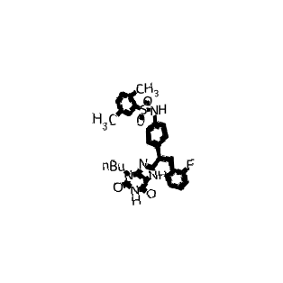 CCCCn1c(=O)[nH]c(=O)c2[nH]c(C(Cc3ccccc3F)c3ccc(NS(=O)(=O)c4cc(C)ccc4C)cc3)nc21